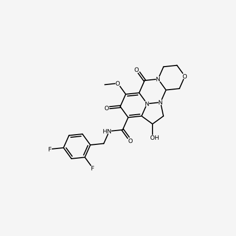 COc1c2n3c(c(C(=O)NCc4ccc(F)cc4F)c1=O)C(O)CN3C1COCCN1C2=O